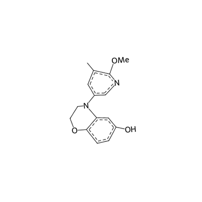 COc1ncc(N2CCOc3ccc(O)cc32)cc1C